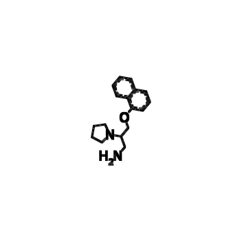 NCC(COc1cccc2ccccc12)N1CCCC1